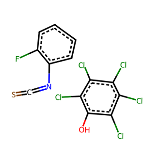 Fc1ccccc1N=C=S.Oc1c(Cl)c(Cl)c(Cl)c(Cl)c1Cl